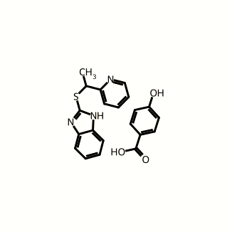 CC(Sc1nc2ccccc2[nH]1)c1ccccn1.O=C(O)c1ccc(O)cc1